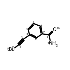 CC(C)(C)C#Cc1cccc(C(N)=O)c1